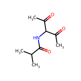 CC(=O)C(NC(=O)C(C)C)C(C)=O